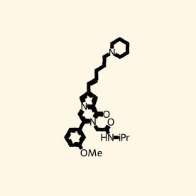 COc1cccc(-c2cn3cc(C=CCCCN4CCCCC4)cc3c(=O)n2CC(=O)NC(C)C)c1